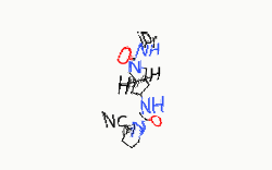 CC(C)NC(=O)N1C[C@H]2CC(NCC(=O)N3CCC[C@H]3C#N)C[C@H]2C1